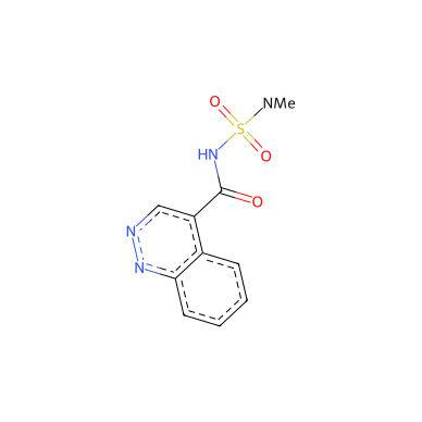 CNS(=O)(=O)NC(=O)c1cnnc2ccccc12